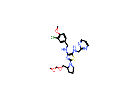 COCOCC1CCCN1c1nc(NCc2ccc(OC)c(Cl)c2)c(NCc2ncccn2)s1